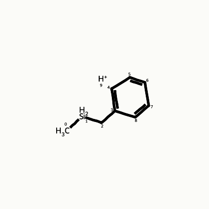 C[SiH2]Cc1ccccc1.[H+]